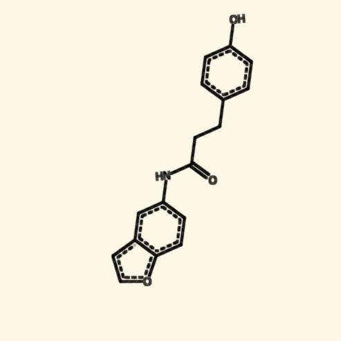 O=C(CCc1ccc(O)cc1)Nc1ccc2occc2c1